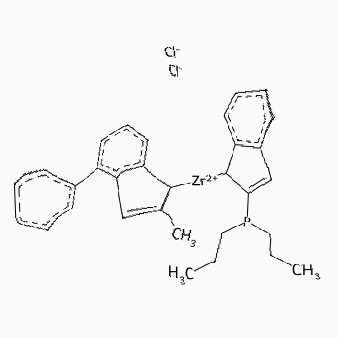 CCCP(CCC)C1=Cc2ccccc2[CH]1[Zr+2][CH]1C(C)=Cc2c(-c3ccccc3)cccc21.[Cl-].[Cl-]